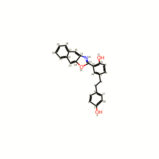 Oc1ccc(CCc2ccc(O)c(-c3nc4cc5ccccc5cc4o3)c2)cc1